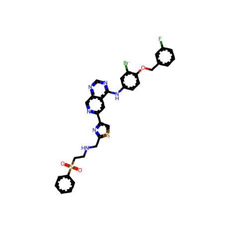 O=S(=O)(CCNCc1nc(-c2cc3c(Nc4ccc(OCc5cccc(F)c5)c(Br)c4)ncnc3cn2)cs1)c1ccccc1